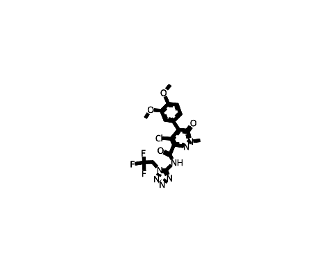 COc1ccc(-c2c(Cl)c(C(=O)Nc3nnnn3CC(F)(F)F)nn(C)c2=O)cc1OC